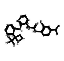 CC(C)c1ccc(NC(=O)Nc2cccnc2Oc2ccccc2C2(C(F)(F)F)CCO2)c(F)c1